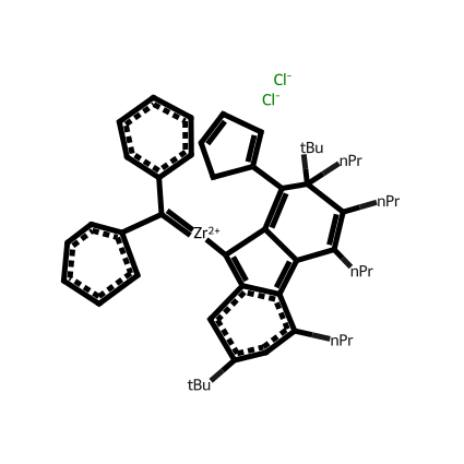 CCCC1=C(CCC)C(CCC)(C(C)(C)C)C(C2=CC=CC2)=C2[C]([Zr+2]=[C](c3ccccc3)c3ccccc3)=c3cc(C(C)(C)C)cc(CCC)c3=C12.[Cl-].[Cl-]